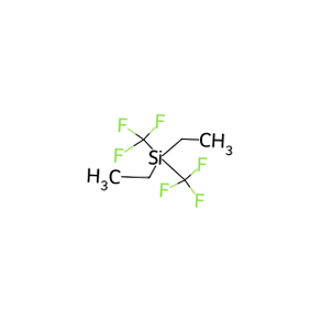 CC[Si](CC)(C(F)(F)F)C(F)(F)F